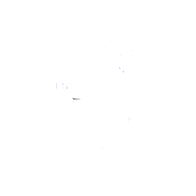 C[C@H]1COC(=O)N1[C@H]1CC[C@@](CN)(c2cccc(Cl)c2)CC1.Cl